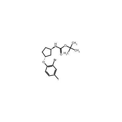 CC(C)(C)OC(=O)N[C@@H]1CC[C@@H](Oc2ccc(I)cc2Br)C1